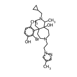 Cc1cnn(CCN2CCC3(c4c(C)ccc(O)c4Br)CCN(CC4CC4)C(C)C3(O)CC2)c1